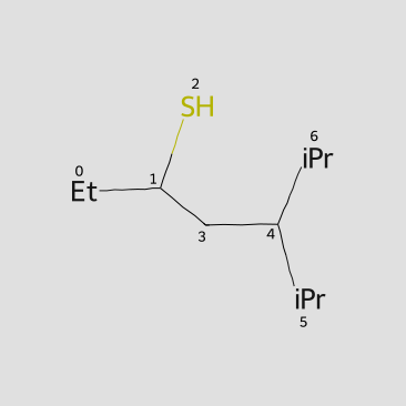 CCC(S)CC(C(C)C)C(C)C